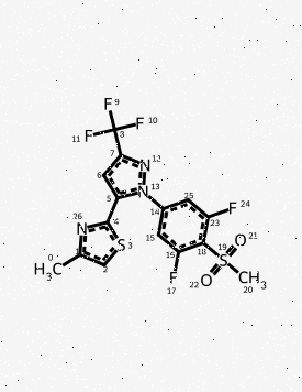 Cc1csc(-c2cc(C(F)(F)F)nn2-c2cc(F)c(S(C)(=O)=O)c(F)c2)n1